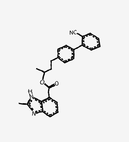 Cc1nc2cccc(C(=O)OC(C)CCc3ccc(-c4ccccc4C#N)cc3)c2[nH]1